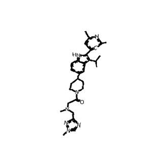 Cc1cc(-c2[nH]c3ccc(C4CCN(C(=O)CN(C)Cc5ncn(C)n5)CC4)cc3c2C(C)C)cc(C)n1